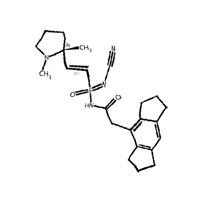 CN1CCC[C@]1(C)/C=C/S(=O)(=NC#N)NC(=O)Cc1c2c(cc3c1CCC3)CCC2